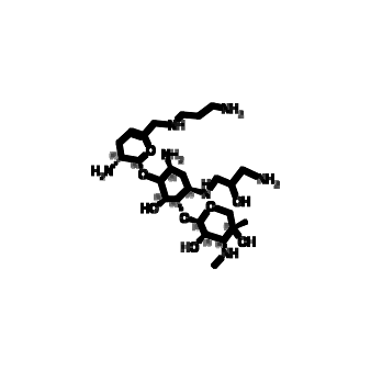 CN[C@@H]1[C@@H](O)[C@@H](O[C@H]2[C@H](NCC(O)CN)C[C@H](N)C(O[C@H]3OC(CNCCCN)=CC[C@H]3N)[C@@H]2O)OC[C@]1(C)O